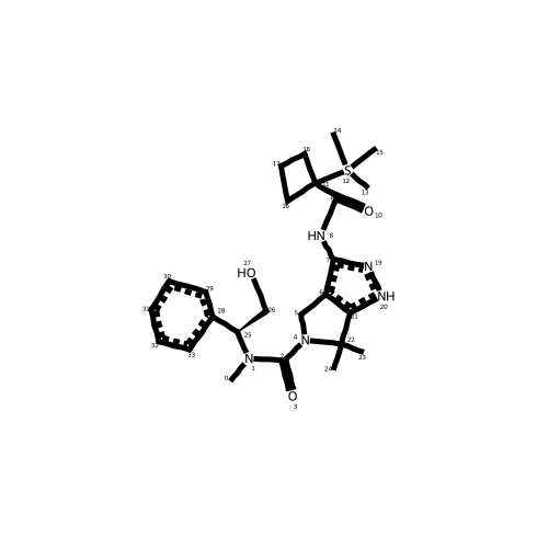 CN(C(=O)N1Cc2c(NC(=O)C3(S(C)(C)C)CCC3)n[nH]c2C1(C)C)[C@H](CO)c1ccccc1